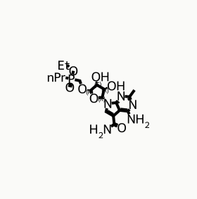 CCCP(=O)(CO[C@H]1O[C@@H](n2cc(C(N)=O)c3c(N)nc(C)nc32)[C@H](O)[C@@H]1O)OCC